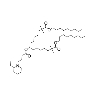 CCCCCCCCCOC(=O)C(C)(C)CCCCCC(CCCCCC(C)(C)C(=O)OCCCCCCCCC)OC(=O)CCCN1CCCCC1CC